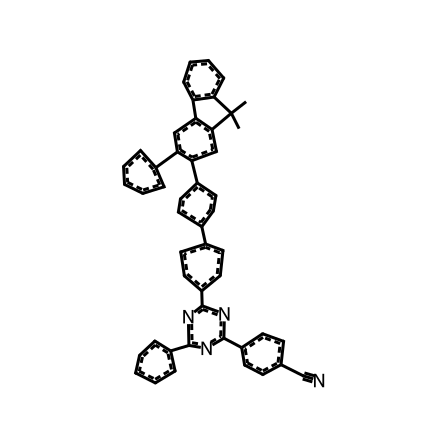 CC1(C)c2ccccc2-c2cc(-c3ccccc3)c(-c3ccc(-c4ccc(-c5nc(-c6ccccc6)nc(-c6ccc(C#N)cc6)n5)cc4)cc3)cc21